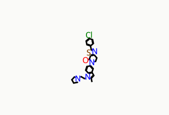 Cc1cc2cc(N3CCc4nc(-c5ccc(Cl)cc5)sc4C3=O)ccc2n1CCN1CCCC1